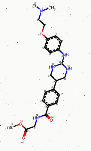 CCN(C)CCOc1ccc(NC2NCC(c3ccc(C(=O)NCC(=O)OC(C)(C)C)cc3)CN2)cc1